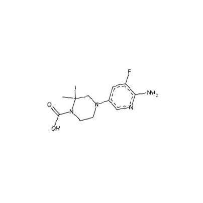 CC1(C)CN(c2cnc(N)c(F)c2)CCN1C(=O)O